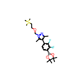 Cc1nn(COCCS(C)(C)C)c(C)c1-c1ccc(B2OC(C)(C)C(C)(C)O2)c(F)c1F